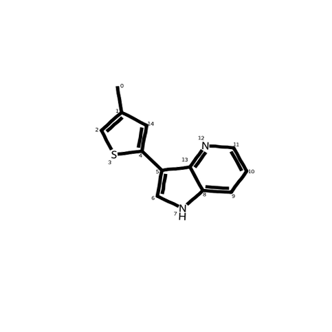 Cc1csc(-c2c[nH]c3cccnc23)c1